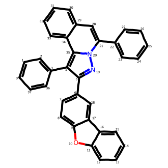 c1ccc(-c2c(-c3ccc4oc5ccccc5c4c3)nn3c(-c4ccccc4)cc4ccccc4c23)cc1